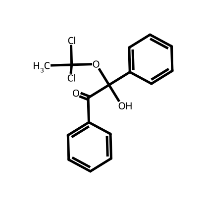 CC(Cl)(Cl)OC(O)(C(=O)c1ccccc1)c1ccccc1